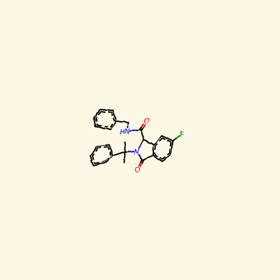 CC(C)(c1ccccc1)N1C(=O)c2ccc(F)cc2C1C(=O)NCc1ccccc1